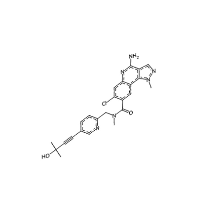 CN(Cc1ccc(C#CC(C)(C)O)cn1)C(=O)c1cc2c(cc1Cl)nc(N)c1cnn(C)c12